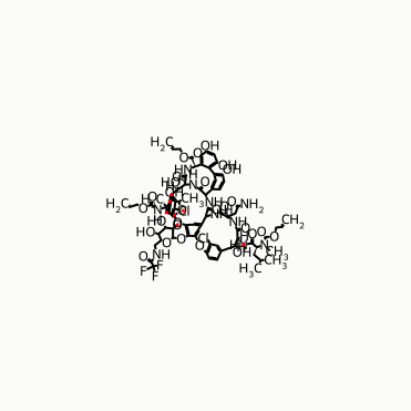 C=CCOC(=O)NC1(C)CC(OC2C(Oc3c4cc5cc3Oc3ccc(cc3Cl)[C@@H](O)[C@@H](NC(=O)[C@H](CC(C)C)N(C)C(=O)OCC=C)C(=O)N[C@@H](CC(N)=O)C(=O)NC5C(=O)NC3C(=O)N[C@H](C(=O)N[C@@H](C(=O)OCC=C)c5cc(O)cc(O)c5-c5cc3ccc5O)[C@H](O)c3ccc(c(Cl)c3)O4)OC(CNC(=O)C(F)(F)F)C(O)C2O)OC(C)C1O